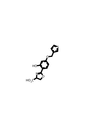 O=C(O)C1COC(c2ccc(OCc3ccsc3)cc2O)=N1